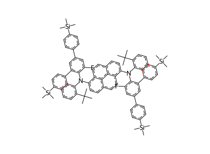 CC(C)(C)c1ccccc1N(c1c(F)cc(-c2ccc([Si](C)(C)C)cc2)cc1-c1ccc([Si](C)(C)C)cc1)c1ccc2ccc3c(N(c4ccccc4C(C)(C)C)c4c(F)cc(-c5ccc([Si](C)(C)C)cc5)cc4-c4ccc([Si](C)(C)C)cc4)ccc4ccc1c2c43